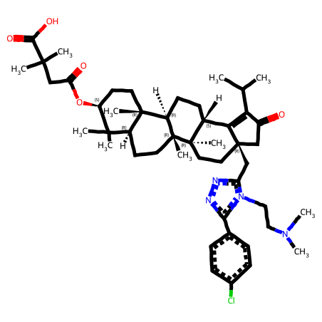 CC(C)C1=C2[C@H]3CC[C@@H]4[C@@]5(C)CC[C@H](OC(=O)CC(C)(C)C(=O)O)C(C)(C)[C@@H]5CC[C@@]4(C)[C@]3(C)CC[C@@]2(Cc2nnc(-c3ccc(Cl)cc3)n2CCN(C)C)CC1=O